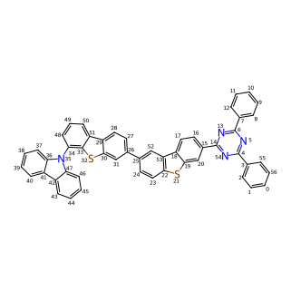 c1ccc(-c2nc(-c3ccccc3)nc(-c3ccc4c(c3)sc3ccc(-c5ccc6c(c5)sc5c(-n7c8ccccc8c8ccccc87)cccc56)cc34)n2)cc1